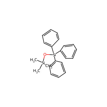 [CH2][Si](C)(C)O[Si](c1ccccc1)(c1ccccc1)c1ccccc1